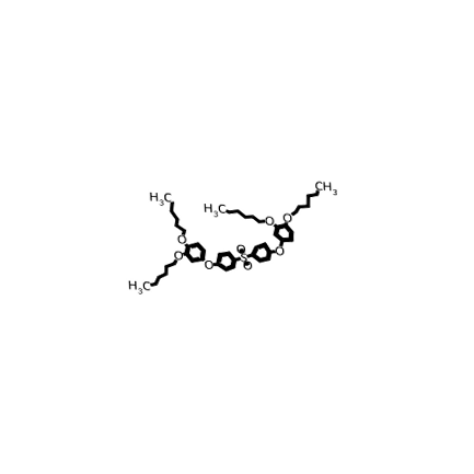 CCCCCCOc1ccc(Oc2ccc(S(=O)(=O)c3ccc(Oc4ccc(OCCCCCC)c(OCCCCCC)c4)cc3)cc2)cc1OCCCCCC